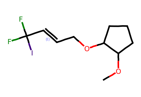 COC1CCCC1OC/C=C/C(F)(F)I